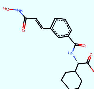 O=C(C=Cc1cccc(C(=O)N[C@H](C(=O)O)C2CCCCC2)c1)NO